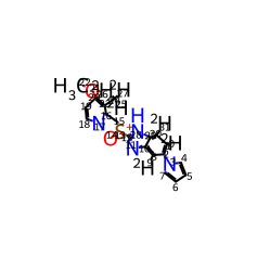 [2H]c1c(-n2cccc2)c([2H])c2nc([S+]([O-])Cc3nccc(OC)c3C([2H])([2H])[2H])[nH]c2c1[2H]